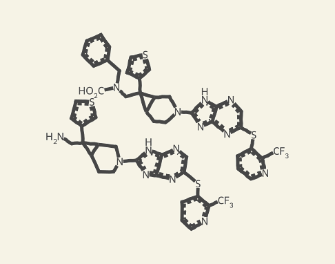 NCC1(c2ccsc2)C2CCN(c3nc4nc(Sc5cccnc5C(F)(F)F)cnc4[nH]3)CC21.O=C(O)N(Cc1ccccc1)CC1(c2ccsc2)C2CCN(c3nc4nc(Sc5cccnc5C(F)(F)F)cnc4[nH]3)CC21